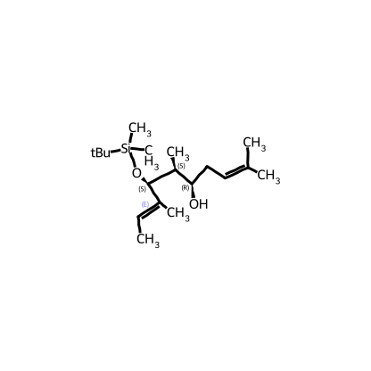 C/C=C(\C)[C@@H](O[Si](C)(C)C(C)(C)C)[C@@H](C)[C@H](O)CC=C(C)C